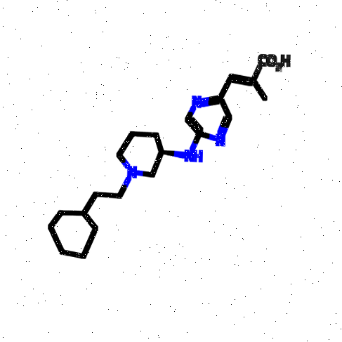 C/C(=C\c1cnc(N[C@@H]2CCCN(CCC3CCCCC3)C2)cn1)C(=O)O